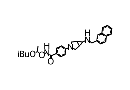 CC(C)COC(C)ONC(=O)c1ccc(N2CC3C(C2)C3NCc2ccc3ccccc3c2)cc1